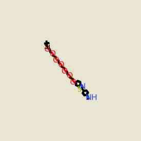 CNc1ccc(-c2nc3ccc(OCCOCCOCCOCCOCCOCCO[Si](C)(C)C(C)(C)C)cc3s2)cc1